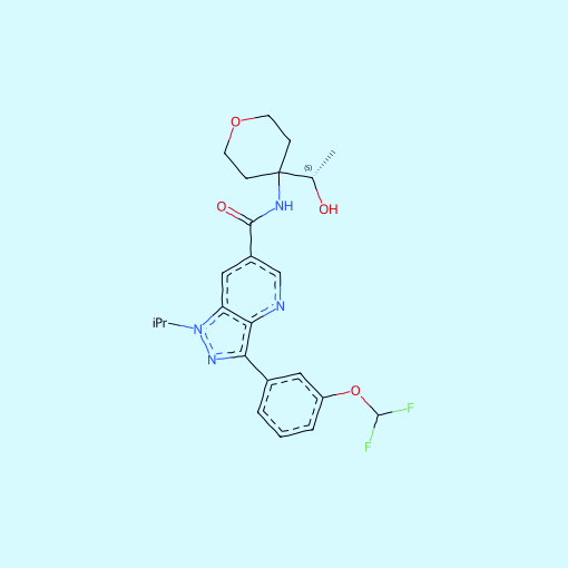 CC(C)n1nc(-c2cccc(OC(F)F)c2)c2ncc(C(=O)NC3([C@H](C)O)CCOCC3)cc21